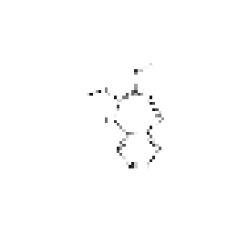 COC1=C(OC)Nc2ccccc2C=C1